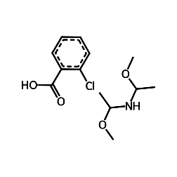 COC(C)NC(C)OC.O=C(O)c1ccccc1Cl